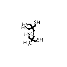 CC(CS)(CS)COCC(CS)(CS)CS